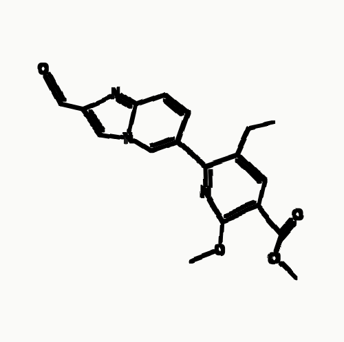 CCc1cc(C(=O)OC)c(OC)nc1-c1ccc2nc(C=O)cn2c1